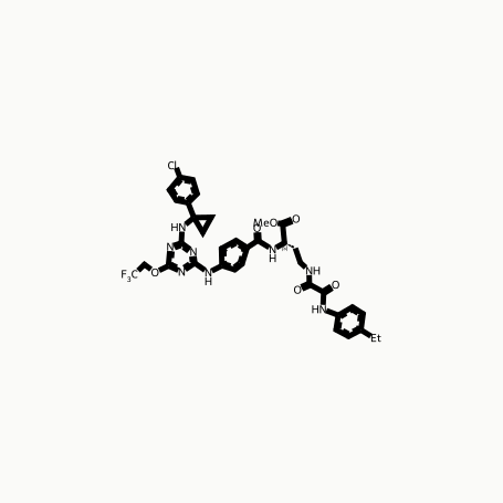 CCc1ccc(NC(=O)C(=O)NCC[C@H](NC(=O)c2ccc(Nc3nc(NC4(c5ccc(Cl)cc5)CC4)nc(OCC(F)(F)F)n3)cc2)C(=O)OC)cc1